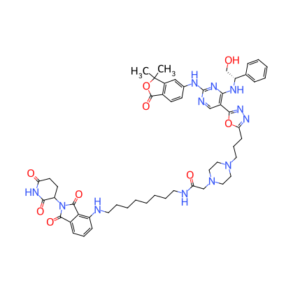 CC1(C)OC(=O)c2ccc(Nc3ncc(-c4nnc(CCCN5CCN(CC(=O)NCCCCCCCCNc6cccc7c6C(=O)N(C6CCC(=O)NC6=O)C7=O)CC5)o4)c(N[C@H](CO)c4ccccc4)n3)cc21